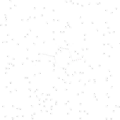 CC1C(O)C(O)OC(CO)C1O